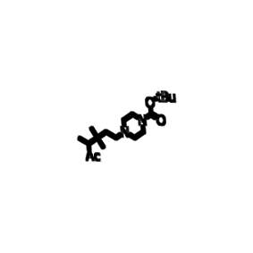 CC(=O)C(C)C(C)(C)CCN1CCN(C(=O)OC(C)(C)C)CC1